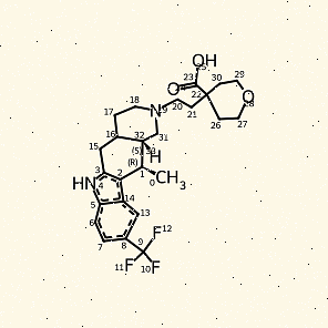 C[C@H]1c2c([nH]c3ccc(C(F)(F)F)cc23)CC2CCN(CCC3(C(=O)O)CCOCC3)C[C@@H]21